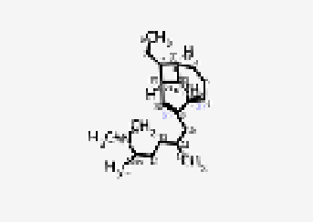 CCC1[C@H]2CC/C=C(N)/C(CC(C)CCC(C)N(C)C)=C\[C@@H]1C2